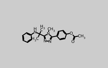 CC(=O)Oc1ccc(-c2nnc(C(C)(C)Nc3ccccc3)n2C)cc1